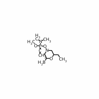 BC1CN(OP(=C=C)(OC)N(C)C)CC(CC)O1